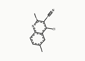 Cc1ccc2nc(C)c(C#N)c(Cl)c2c1